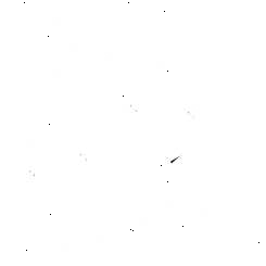 O=C(O)O[C@@H]1CCCN1C(=O)Nc1sc2c(c1-c1nc(C3CC3)no1)CCC2